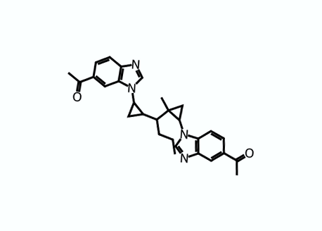 CCCC(C1CC1n1cnc2ccc(C(C)=O)cc21)C1(C)CC1n1cnc2cc(C(C)=O)ccc21